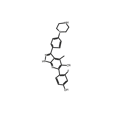 Cc1c(C#N)c(-c2ccc(O)cc2F)nc2[nH]nc(-c3ccc(N4CCNCC4)cc3)c12